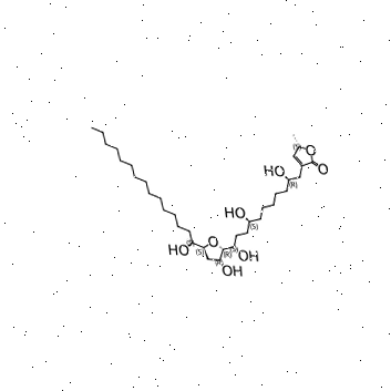 CCCCCCCCCCCCCC[C@H](O)[C@@H]1C[C@@H](O)[C@@H]([C@@H](O)CC[C@@H](O)CCCCC[C@@H](O)CC2=C[C@H](C)OC2=O)O1